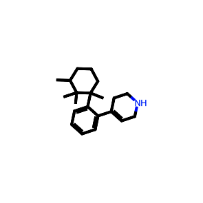 CC1CCCC(C)(c2ccccc2C2=CCNCC2)C1(C)C